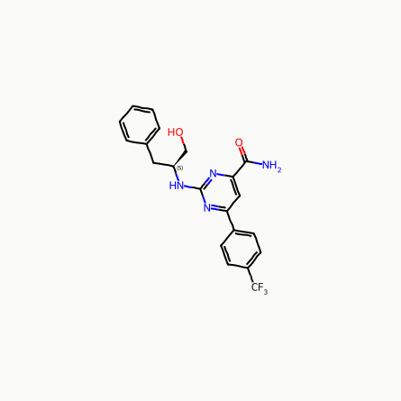 NC(=O)c1cc(-c2ccc(C(F)(F)F)cc2)nc(N[C@H](CO)Cc2ccccc2)n1